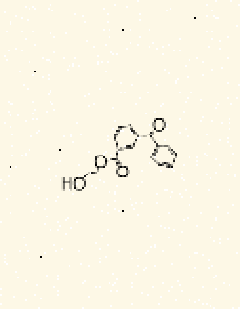 O=C(OCCO)c1cccc(C(=O)c2ccccc2)c1